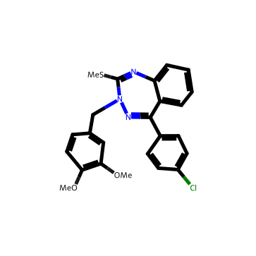 COc1ccc(CN2N=C(c3ccc(Cl)cc3)c3ccccc3N=C2SC)cc1OC